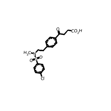 CN(CCc1ccc(C(=O)CCC(=O)O)cc1)S(=O)(=O)c1ccc(Cl)cc1